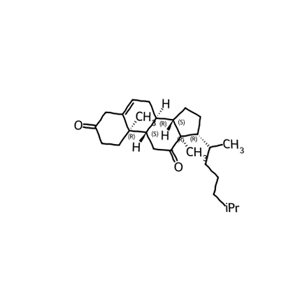 CC(C)CCCC(C)[C@H]1CC[C@H]2[C@@H]3CC=C4CC(=O)CC[C@]4(C)[C@H]3CC(=O)[C@]12C